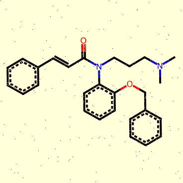 CN(C)CCCN(C(=O)/C=C/c1ccccc1)c1ccccc1OCc1ccccc1